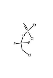 CCP(=S)(Cl)OC(F)(F)CCl